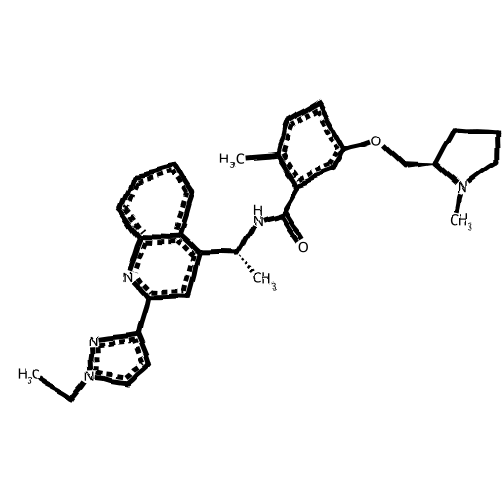 CCn1ccc(-c2cc([C@@H](C)NC(=O)c3cc(OC[C@H]4CCCN4C)ccc3C)c3ccccc3n2)n1